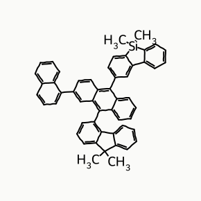 CC1(C)c2ccccc2-c2c(-c3c4ccccc4c(-c4ccc5c(c4)-c4ccccc4[Si]5(C)C)c4ccc(-c5cccc6ccccc56)cc34)cccc21